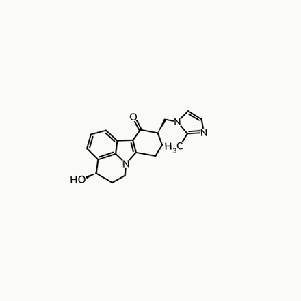 Cc1nccn1C[C@H]1CCc2c(c3cccc4c3n2CC[C@H]4O)C1=O